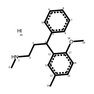 CNCCC(c1ccccc1)c1cc(C)ccc1OC.I